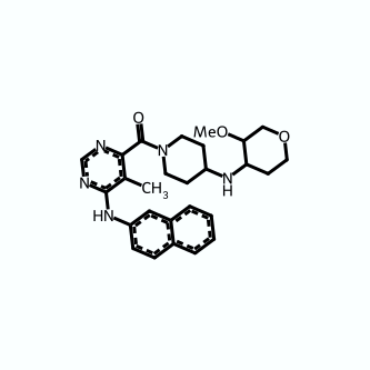 COC1COCCC1NC1CCN(C(=O)c2ncnc(Nc3ccc4ccccc4c3)c2C)CC1